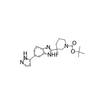 CC(C)(C)OC(=O)N1CCCC(F)(c2nc3ccc(-c4ccn[nH]4)cc3[nH]2)C1